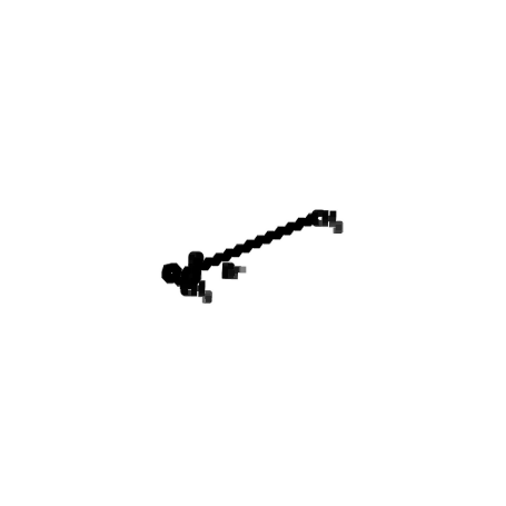 CCCCCCCCCCCCCCCCCCCCCCCC(=O)N1CC[N+](C)(Cc2ccccc2)CC1.[Br-]